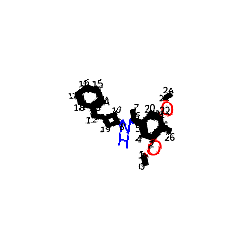 CCOc1cc(C(C)NC2CC(Cc3ccccc3)C2)cc(OCC)c1C